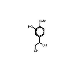 COc1ccc(C(O)CO)cc1O